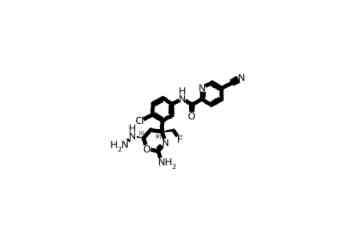 N#Cc1ccc(C(=O)Nc2ccc(Cl)c([C@@]3(CF)C[C@@H](NN)OC(N)=N3)c2)nc1